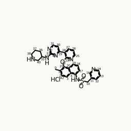 Cc1ccc2c(NS(=O)(=O)Cc3cccnc3)cccc2c1Oc1ncccc1-c1ccnc(NC2CCCNC2)n1.Cl